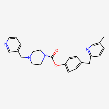 Cc1ccc(Cc2ccc(OC(=O)N3CCN(Cc4cccnc4)CC3)cc2)nc1